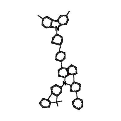 Cc1ccc2c(c1)c1cc(C)ccc1n2-c1ccc(-c2ccc(-c3ccc(N(c4ccc5c(c4)C(C)(C)c4ccccc4-5)c4cc(-c5ccccc5)ccc4-c4ccccc4)cc3)cc2)cc1